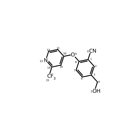 N#Cc1cc(CO)ccc1Oc1ccnc(C(F)(F)F)c1